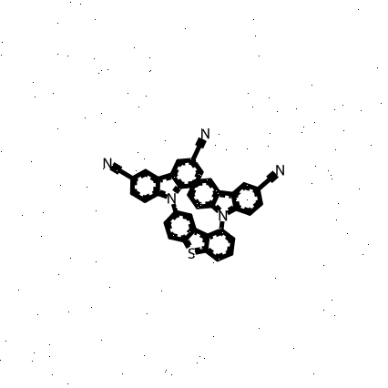 N#Cc1ccc2c(c1)c1cc(C#N)ccc1n2-c1ccc2sc3cccc(-n4c5ccccc5c5cc(C#N)ccc54)c3c2c1